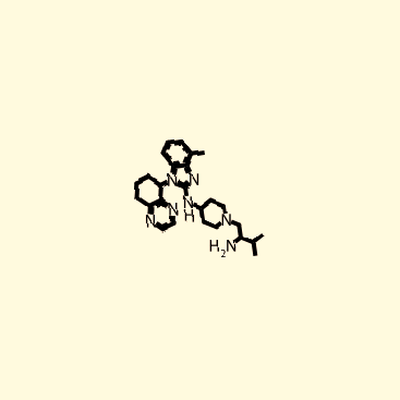 Cc1cccc2c1nc(NC1CCN(CC(N)C(C)C)CC1)n2C1CCCc2nccnc21